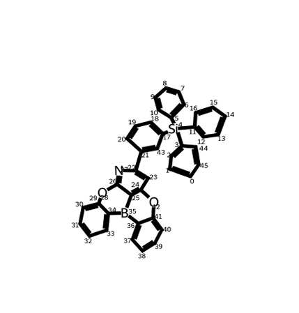 c1ccc([Si](c2ccccc2)(c2ccccc2)c2cccc(-c3cc4c5c(n3)Oc3ccccc3B5c3ccccc3O4)c2)cc1